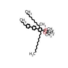 CCCCCCCCCCCCc1cc(-c2ccc(-c3ccc(CCCC)cc3)cc2)c(C(C)CCCCCCCCCC)cc1B1OC(C)(C)C(C)(C)O1